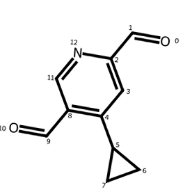 O=Cc1cc(C2CC2)c(C=O)cn1